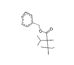 CC(C)C(C)(C(=O)OCc1ccccc1)C(C)(C)C